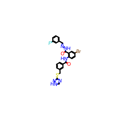 O=C(Nc1ccc(Br)cc1C(=O)N/N=C/c1cccc(F)c1)c1cccc(CSc2nc[nH]n2)c1